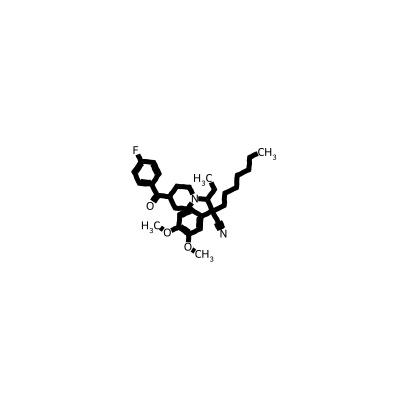 CCCCCCCC(C#N)(c1ccc(OC)c(OC)c1)C(CC)N1CCC(C(=O)c2ccc(F)cc2)CC1